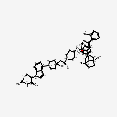 Nc1nnc(-c2ccccc2O)cc1N1C[C@H]2CC[C@@H](C1)N2c1cccc(OC2CCN(C(=O)CC3(O)CCN(c4cccc5c4ccn5C4CCC(=O)NC4=O)CC3)CC2)c1